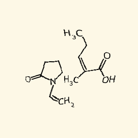 C=CN1CCCC1=O.CCC=C(C)C(=O)O